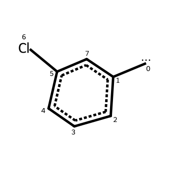 [C]c1cccc(Cl)c1